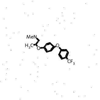 CNCC(C)Oc1ccc(Oc2ccc(C(F)(F)F)cc2)cc1